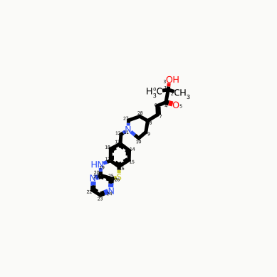 CC(C)(O)C(=O)/C=C/C1CCN(Cc2ccc3c(c2)Nc2nccnc2S3)CC1